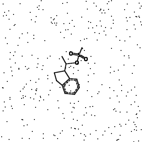 CC(OS(C)(=O)=O)C1CCc2ccccc21